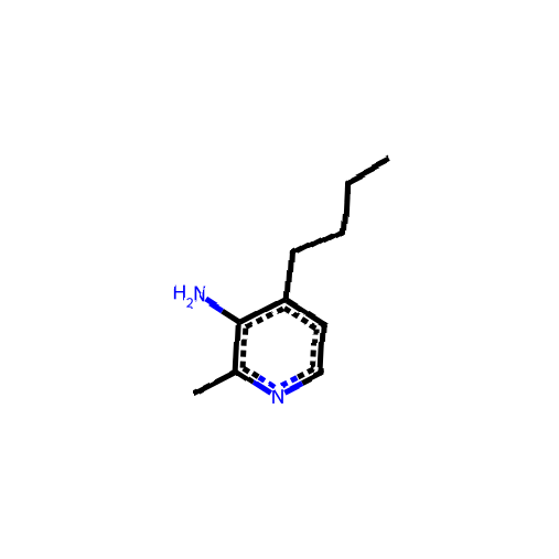 CCCCc1ccnc(C)c1N